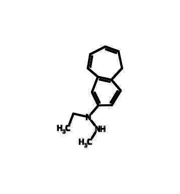 CCN(NC)c1ccc2c(c1)C=CC=CC2